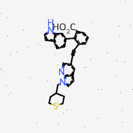 O=C(O)c1cccc(C#Cc2cnc3c(ccn3CC3CCSCC3)c2)c1-c1ccc2cc[nH]c2c1